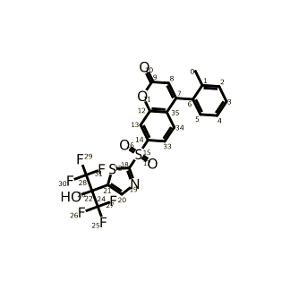 Cc1ccccc1-c1cc(=O)oc2cc(S(=O)(=O)c3ncc(C(O)(C(F)(F)F)C(F)(F)F)s3)ccc12